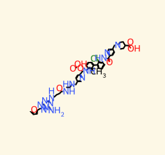 Cc1c(NC(=O)c2ccc(CNCCNC(=O)CCCNc3nc(N)n4nc(-c5ccco5)nc4n3)cn2)cccc1-c1cccc(NC(=O)c2ccc(CN3CCC(C(=O)O)CC3)cn2)c1Cl.O=CO